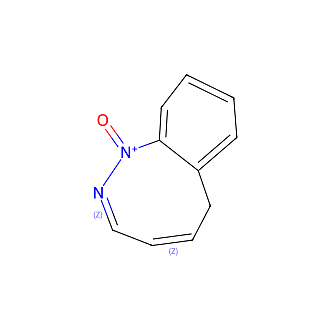 O=[N+]1/N=C\C=C/Cc2ccccc21